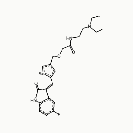 CCN(CC)CCNC(=O)COCc1c[se]c(/C=C2\C(=O)Nc3ccc(F)cc32)c1